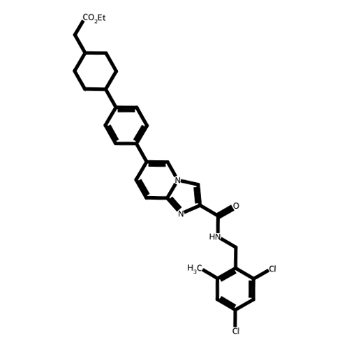 CCOC(=O)CC1CCC(c2ccc(-c3ccc4nc(C(=O)NCc5c(C)cc(Cl)cc5Cl)cn4c3)cc2)CC1